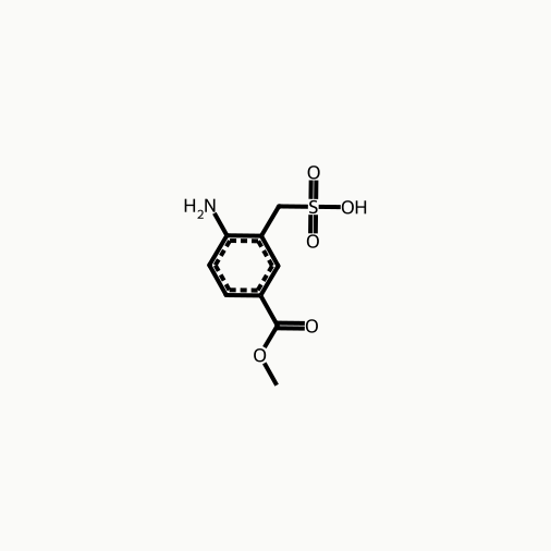 COC(=O)c1ccc(N)c(CS(=O)(=O)O)c1